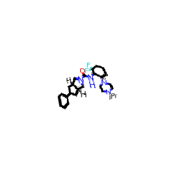 CC(C)N1CCN([C@H]2CCCC(F)(F)[C@@H]2NC(=O)N2C[C@H]3CC(c4ccccc4)C[C@H]3C2)CC1